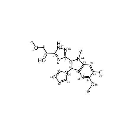 COCC(O)c1nc(-c2c(-n3ccnc3)c3nc(OC)c(Cl)cc3n2C)n[nH]1